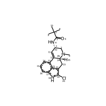 CN1C[C@@H](NC(=O)C(C)(C)C)C=C2c3cccc4[nH]c(Cl)c(c34)C[C@H]21